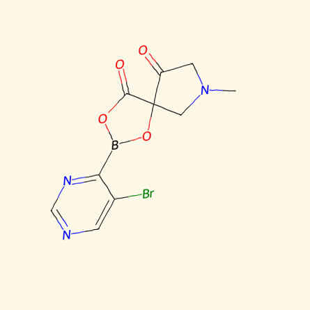 CN1CC(=O)C2(C1)OB(c1ncncc1Br)OC2=O